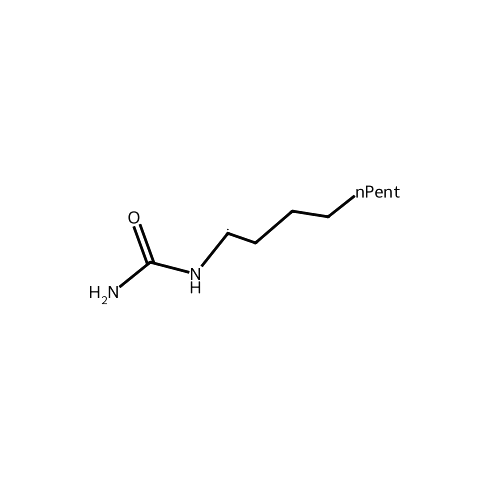 CCCCCCCC[CH]NC(N)=O